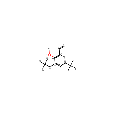 C=Cc1cc(C(C)(C)C)cc(CC(C)(C)C)c1OC